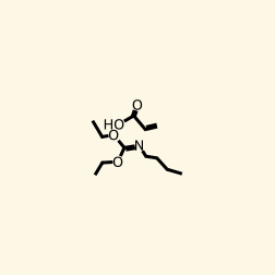 C=CC(=O)O.CCCCN=C(OCC)OCC